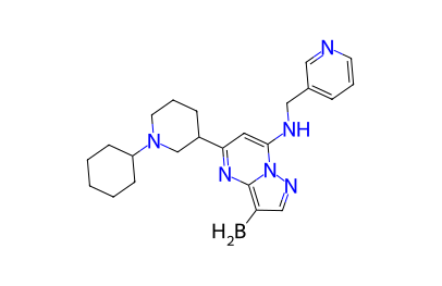 Bc1cnn2c(NCc3cccnc3)cc(C3CCCN(C4CCCCC4)C3)nc12